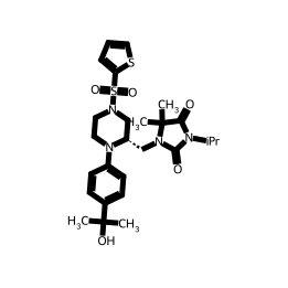 CC(C)N1C(=O)N(C[C@H]2CN(S(=O)(=O)c3cccs3)CCN2c2ccc(C(C)(C)O)cc2)C(C)(C)C1=O